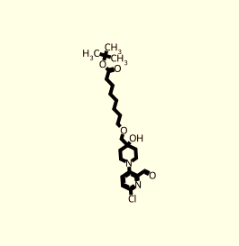 CC(C)(C)OC(=O)CCCCCCCOCC1(O)CCN(c2ccc(Cl)nc2C=O)CC1